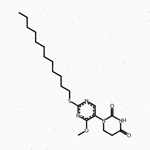 CCCCCCCCCCCCSc1ncc(N2CCC(=O)NC2=O)c(OC)n1